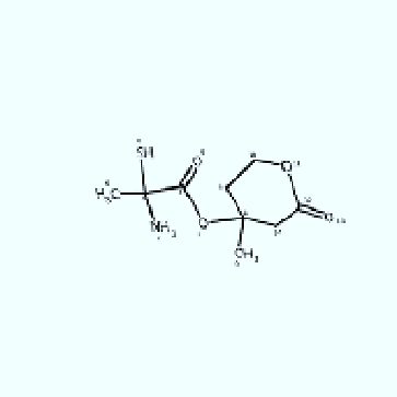 CC1(OC(=O)C(C)(N)S)CCOC(=O)C1